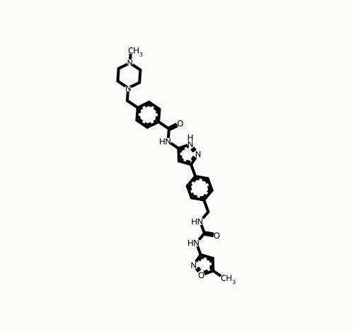 Cc1cc(NC(=O)NCc2ccc(-c3cc(NC(=O)c4ccc(CN5CCN(C)CC5)cc4)[nH]n3)cc2)no1